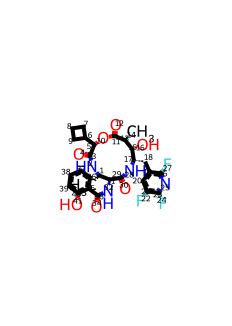 C[C@H]1NC(=O)C(C2CCC2)OC(=O)[C@H](C)[C@H](O)[C@H](Cc2cc(F)c(F)nc2F)NC(=O)[C@H]1NC(=O)c1ccccc1O